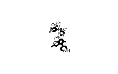 Cc1cc(Nc2ncc(Cl)c(Nc3cn(C)nc3S(=O)(=O)C(C)C)n2)c2c(c1C1CCNCC1)CC(C)O2